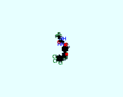 Cc1cc(/C(F)=C/C(c2cc(Cl)c(Cl)c(Cl)c2)C(F)(F)F)ccc1C(=O)NCC(=O)NCC(F)(F)F